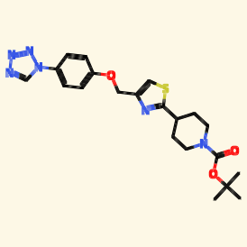 CC(C)(C)OC(=O)N1CCC(c2nc(COc3ccc(-n4cnnn4)cc3)cs2)CC1